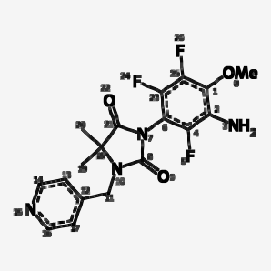 COc1c(N)c(F)c(N2C(=O)N(Cc3ccncc3)C(C)(C)C2=O)c(F)c1F